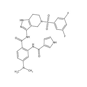 CN(C)c1ccc(C(=O)Nc2n[nH]c3c2CN(S(=O)(=O)c2cc(F)cc(F)c2)CC3)c(NC(=O)c2cc[nH]c2)c1